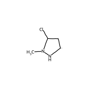 CN1N[CH]CC1Cl